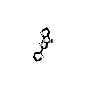 c1ccc(-c2cc3[nH]c4cccnc4n3n2)nc1